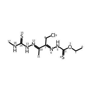 CCOC(=S)N/N=C(CCl)/C(C)=N/NC(=S)NC